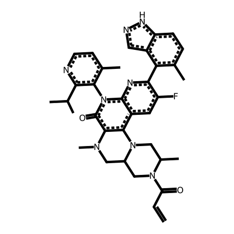 C=CC(=O)N1CC2CN(C)c3c(c4cc(F)c(-c5c(C)ccc6[nH]ncc56)nc4n(-c4c(C)ccnc4C(C)C)c3=O)N2CC1C